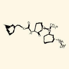 O=C(NC1CCN(N(C(=O)O)C2CCC[C@@H](NO)C2)C1=O)OCc1ccccc1